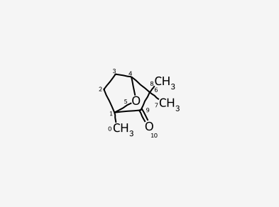 CC12CCC(O1)C(C)(C)C2=O